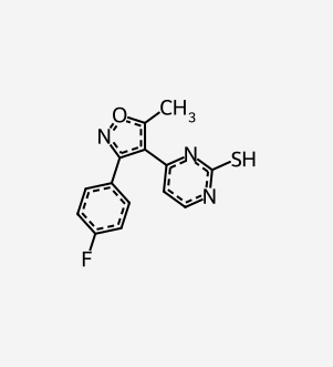 Cc1onc(-c2ccc(F)cc2)c1-c1ccnc(S)n1